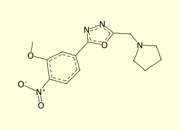 COc1cc(-c2nnc(CN3CCCC3)o2)ccc1[N+](=O)[O-]